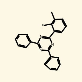 Cc1cccc(-c2nc(-c3ccccc3)nc(-c3ccccc3)n2)c1F